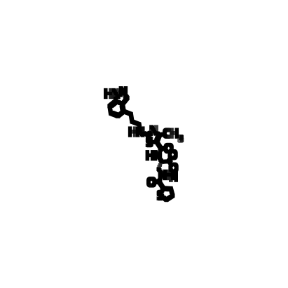 Cc1nc(NCCCc2cccc3[nH]ncc23)sc1C(=O)N[C@@H](CNC(=O)C1=CCCS1)C(=O)O